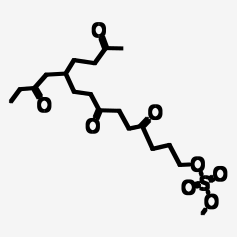 CCC(=O)CC(CCC(C)=O)CCC(=O)CCC(=O)CCCOS(=O)(=O)OC